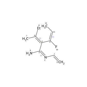 C=C\N=C(N)/C(=C(\C)CC)C(/F)=C\C